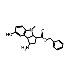 CN1c2ccc(O)cc2C2C(N)CC(C(=O)OCc3ccccc3)C21